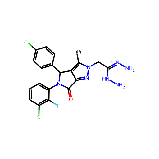 CC(C)c1c2c(nn1C/C(=N/N)NN)C(=O)N(c1cccc(Cl)c1F)C2c1ccc(Cl)cc1